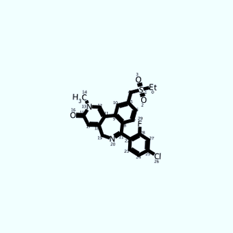 CCS(=O)(=O)Cc1ccc2c(c1)-c1cn(C)c(=O)cc1CN=C2c1ccc(Cl)cc1F